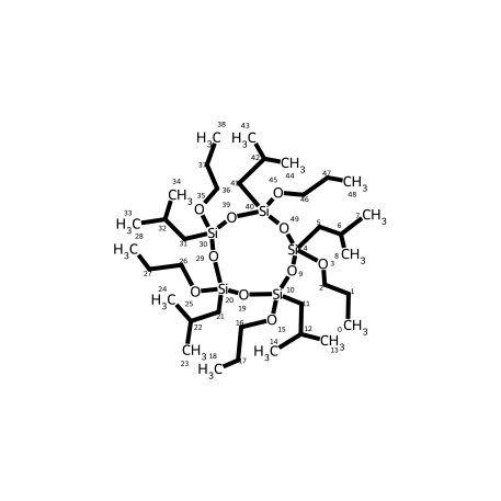 CCCO[Si]1(CC(C)C)O[Si](CC(C)C)(OCCC)O[Si](CC(C)C)(OCCC)O[Si](CC(C)C)(OCCC)O[Si](CC(C)C)(OCCC)O1